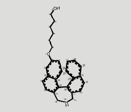 OCCCCCCOc1ccc2c3c(ccc2c1)CNCc1ccc2ccccc2c1-3